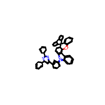 c1ccc(-c2cc(-c3cccc(-n4c5ccccc5c5c6c(ccc54)C4(c5ccccc5O6)c5ccccc5-c5ccccc54)c3)nc(-c3ccccc3)n2)cc1